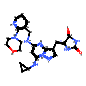 O=C1NC(=O)/C(=C/c2cnn3c(NC4CC4)cc(NCc4cccnc4N4CCOCC4)nc23)N1